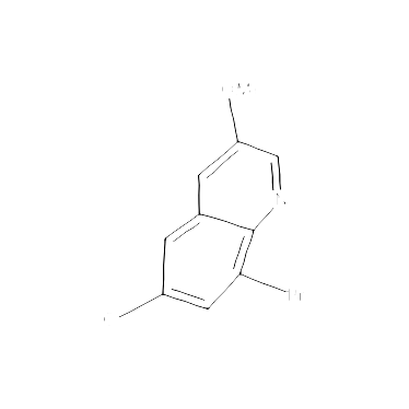 COc1cnc2c(Br)cc(Cl)cc2c1